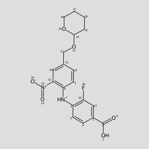 O=C(O)c1ccc(Nc2ccc(COC3CCCCO3)cc2[N+](=O)[O-])c(F)c1